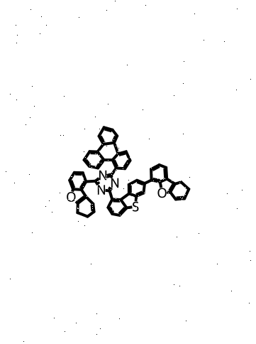 C1=Cc2c(oc3cccc(-c4nc(-c5cccc6sc7cc(-c8cccc9c%10c(oc89)C=CCC%10)ccc7c56)nc(-c5cccc6c7ccccc7c7ccccc7c56)n4)c23)CC1